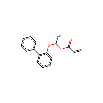 C=CC(=O)OC(CCC)Oc1ccccc1-c1ccccc1